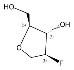 OC[C@@H]1OC[C@H](F)[C@H]1O